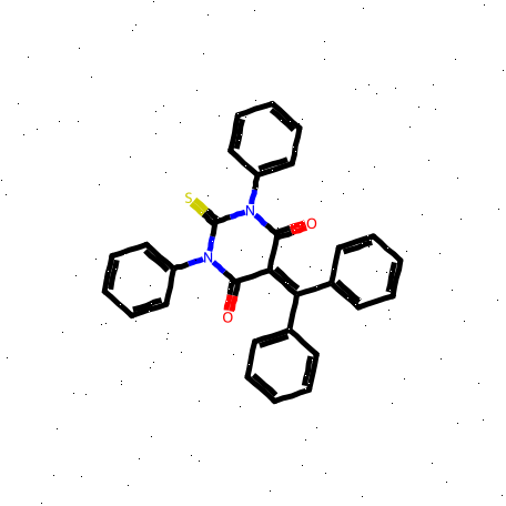 O=C1C(=C(c2ccccc2)c2ccccc2)C(=O)N(c2ccccc2)C(=S)N1c1ccccc1